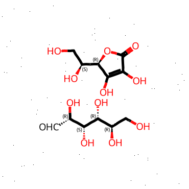 O=C1O[C@H]([C@@H](O)CO)C(O)=C1O.O=C[C@H](O)[C@@H](O)[C@H](O)[C@H](O)CO